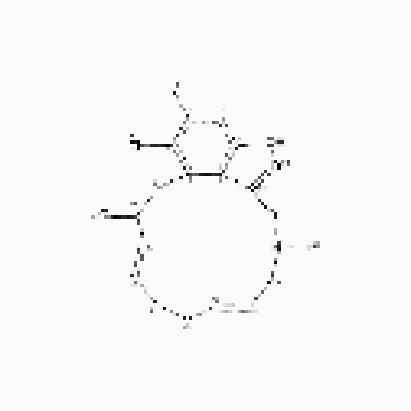 Cc1cc(O)c2c(c1Cl)CC(=O)/C=C/CC/C=C/C[C@@H](C)OC2=O